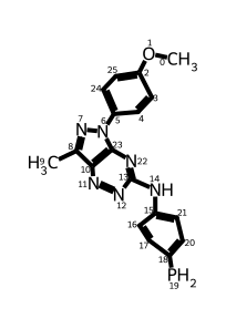 COc1ccc(-n2nc(C)c3nnc(Nc4ccc(P)cc4)nc32)cc1